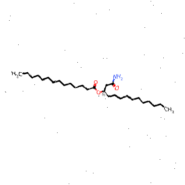 CCCCCCCCCCCCCC(=O)O[C@H](CCCCCCCCCCC)CC(N)=O